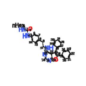 CCCCCCNC(=O)Nc1ccc(CCNc2ncnc3oc(-c4ccccc4)c(-c4ccccc4)c23)cc1